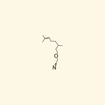 CC(C)=CCCC(C)CCOCC#N